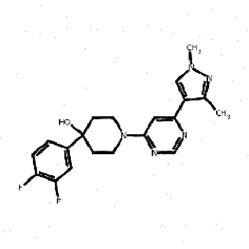 Cc1nn(C)cc1-c1cc(N2CCC(O)(c3ccc(F)c(F)c3)CC2)ncn1